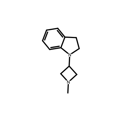 CN1CC(N2CCc3ccccc32)C1